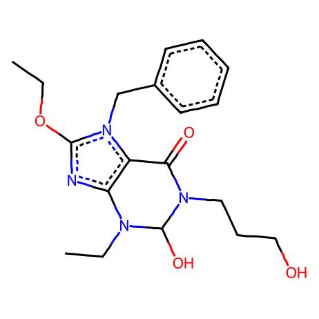 CCOc1nc2c(n1Cc1ccccc1)C(=O)N(CCCO)C(O)N2CC